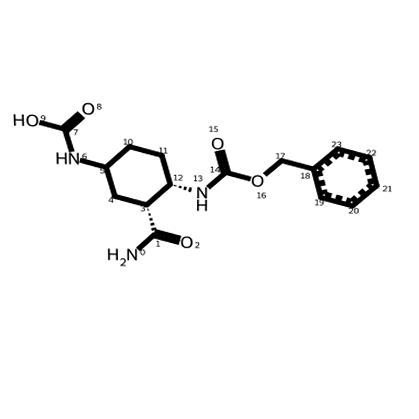 NC(=O)[C@@H]1CC(NC(=O)O)CC[C@@H]1NC(=O)OCc1ccccc1